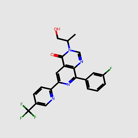 CC(CO)n1cnc2c(-c3cccc(F)c3)nc(-c3ccc(C(F)(F)F)cn3)cc2c1=O